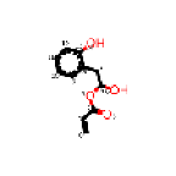 C=CC(=O)OC(O)Cc1ccccc1O